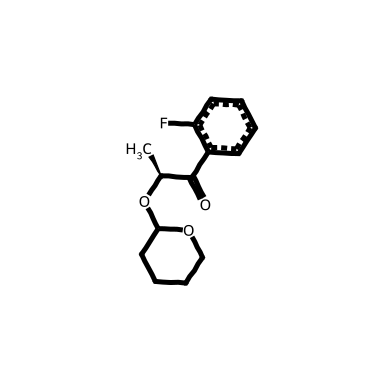 C[C@H](OC1CCCCO1)C(=O)c1ccccc1F